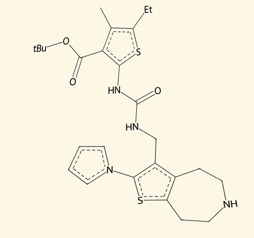 CCc1sc(NC(=O)NCc2c(-n3cccc3)sc3c2CCNCC3)c(C(=O)OC(C)(C)C)c1C